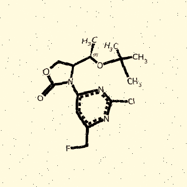 C[C@@H](OC(C)(C)C)C1COC(=O)N1c1cc(CF)nc(Cl)n1